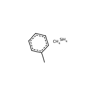 C.Cc1ccccc1.[SiH4]